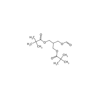 CC(C)(C)C(=O)OCC(COC=O)COC(=O)C(C)(C)C